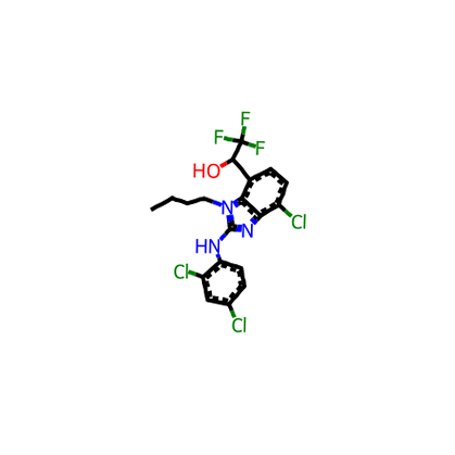 CCCCn1c(Nc2ccc(Cl)cc2Cl)nc2c(Cl)ccc(C(O)C(F)(F)F)c21